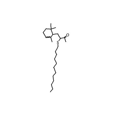 CCCCCCCCCCCCSC(CC1C(C)=CCCC1(C)C)C(C)=O